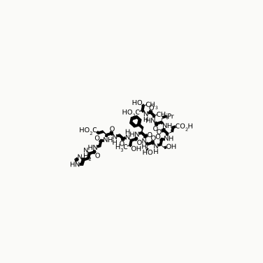 CC(C)C[C@H](NC(=O)[C@H](CCC(=O)O)NC(=O)[C@H](CO)NC(=O)[C@H](CO)NC(=O)[C@H](Cc1ccccc1)NC(=O)[C@@H](NC(=O)CNC(=O)[C@H](CCC(=O)O)NC(=O)CNC(=O)[C@@H](N)Cc1c[nH]cn1)[C@@H](C)O)C(=O)N[C@@H](C)C(=O)N[C@H](C(=O)O)[C@@H](C)O